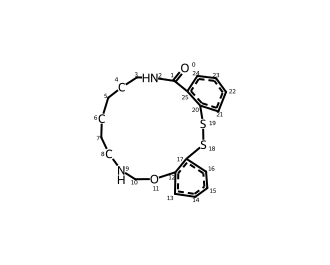 O=C1NCCCCCCNCOc2ccccc2SSc2ccccc21